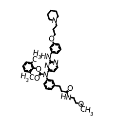 COCCNC(=O)CCc1cccc(N(C(=O)Oc2c(C)cccc2C)c2ccnc(Nc3cccc(OCCCN4CCCCC4)c3)n2)c1